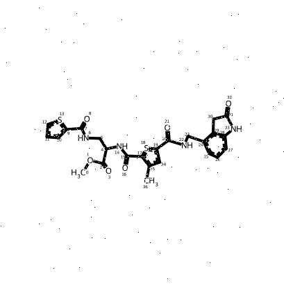 COC(=O)C(CNC(=O)c1cccs1)NC(=O)c1sc(C(=O)NCc2cccc3c2CC(=O)N3)cc1C